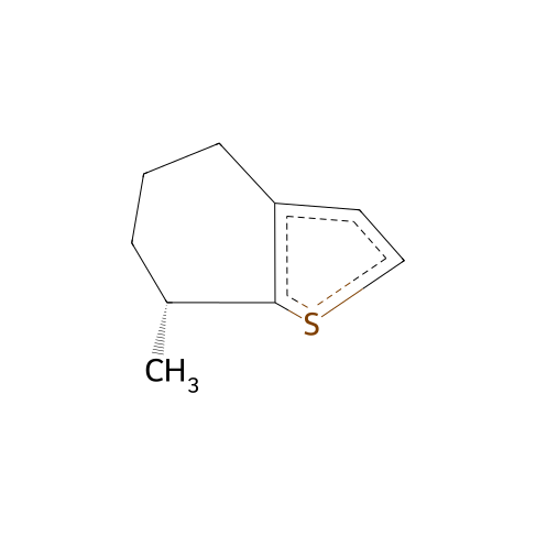 C[C@@H]1CCCc2ccsc21